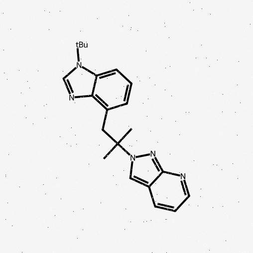 CC(C)(C)n1cnc2c(CC(C)(C)n3cc4cccnc4n3)cccc21